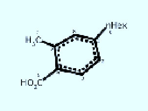 CCCCCCc1ccc(C(=O)O)c(C)c1